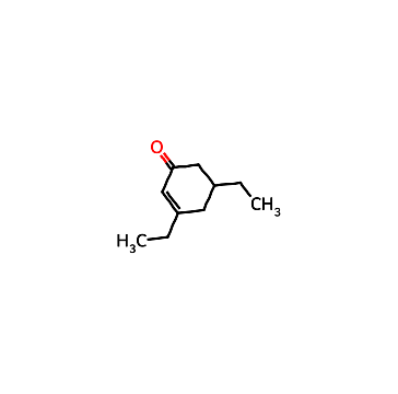 CCC1=CC(=O)CC(CC)C1